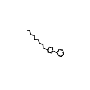 CCCCCCCCCc1ccc(-c2ccccc2)cc1